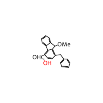 COC1c2ccccc2-c2cccc(Cc3ccccc3)c21.O=CO